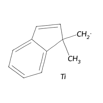 [CH2]C1(C)C=Cc2ccccc21.[Ti]